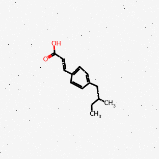 CCC(C)Cc1ccc(C=CC(=O)O)cc1